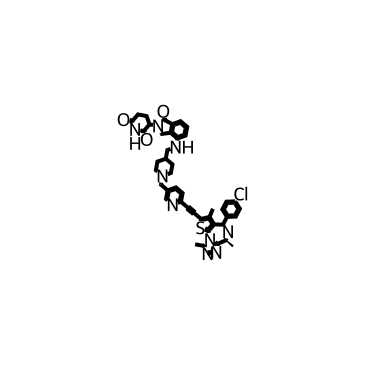 Cc1c(C#Cc2ccc(CN3CCC(CNc4cccc5c4CN(C4CCC(=O)NC4=O)C5=O)CC3)cn2)sc2c1C(c1ccc(Cl)cc1)=N[C@@H](C)c1nnc(C)n1-2